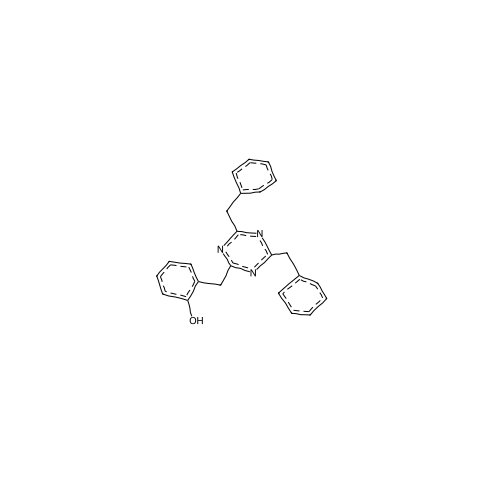 Oc1ccccc1Cc1nc(Cc2ccccc2)nc(Cc2ccccc2)n1